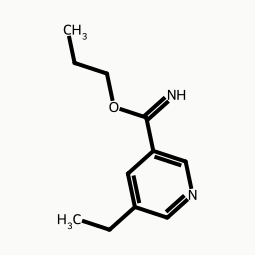 CCCOC(=N)c1cncc(CC)c1